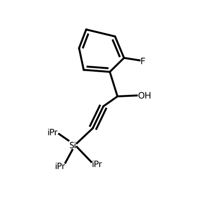 CC(C)[Si](C#CC(O)c1ccccc1F)(C(C)C)C(C)C